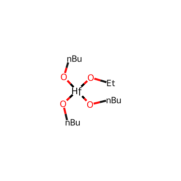 CCCC[O][Hf]([O]CC)([O]CCCC)[O]CCCC